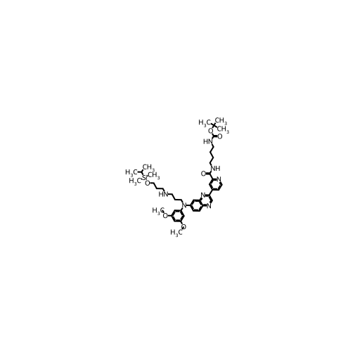 COc1cc(OC)cc(N(CCCNCCCO[Si](C)(C)C(C)C)c2ccc3ncc(-c4ccnc(C(=O)NCCCCNC(=O)OC(C)(C)C)c4)nc3c2)c1